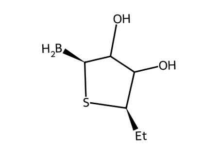 B[C@@H]1S[C@H](CC)C(O)C1O